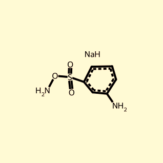 NOS(=O)(=O)c1cccc(N)c1.[NaH]